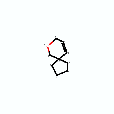 C1=CC2(CCCC2)COC1